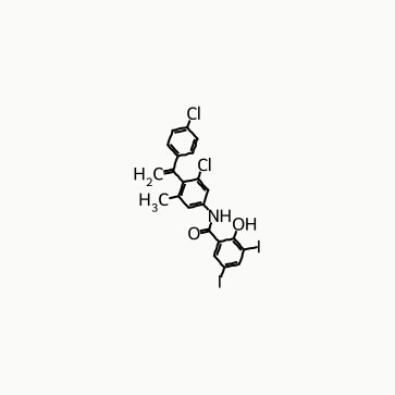 C=C(c1ccc(Cl)cc1)c1c(C)cc(NC(=O)c2cc(I)cc(I)c2O)cc1Cl